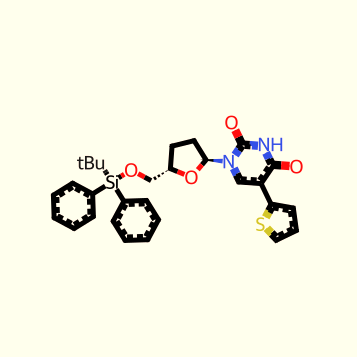 CC(C)(C)[Si](OC[C@@H]1CC[C@@H](n2cc(-c3cccs3)c(=O)[nH]c2=O)O1)(c1ccccc1)c1ccccc1